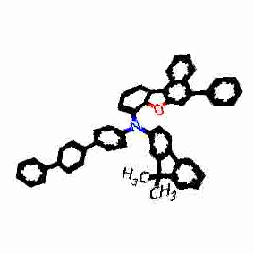 CC1(C)c2ccccc2-c2ccc(N(C3=CC=CC4c5c(cc(-c6ccccc6)c6ccccc56)OC34)c3ccc(C4=CCC(c5ccccc5)C=C4)cc3)cc21